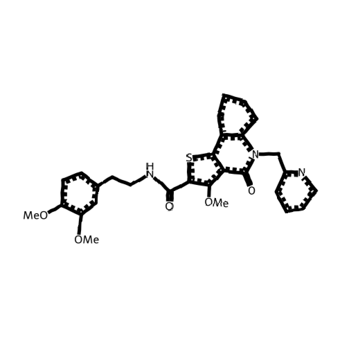 COc1ccc(CCNC(=O)c2sc3c(c2OC)c(=O)n(Cc2ccccn2)c2ccccc32)cc1OC